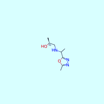 Cc1nnc(C(C)NC[C@H](C)O)o1